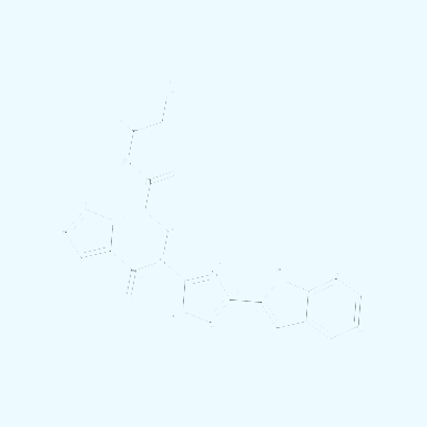 CC(CO)NC(=O)CCN(C(=O)c1cccs1)c1nc(-c2cc3ccccc3o2)cs1